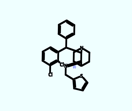 Clc1cccc(C(c2ccccc2)C2/C(=N/Cc3cccs3)C3CCN2CC3)c1Cl